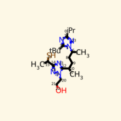 CC(C)c1nc(C(C)(C)C)n(C(C)CCC(C)c2nc(C(C)S)nn2CCO)n1